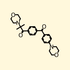 CC(C)(C(=O)c1ccc(C(=O)c2ccc(N3CCOCC3)cc2)cc1)N1CCOCC1